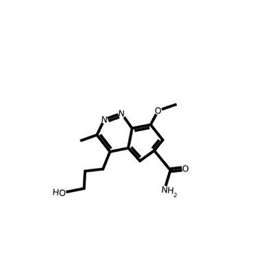 COc1cc(C(N)=O)cc2c(CCCO)c(C)nnc12